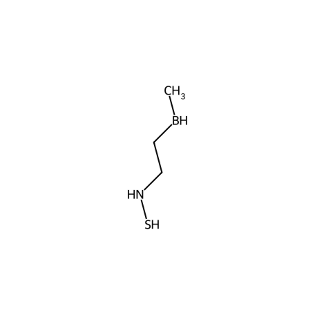 CBCCNS